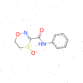 O=C(Nc1ccccc1)C1=NOCC[S+]1[O-]